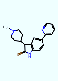 CN1CCC(C2C(=S)Nc3ccc(-c4ccccn4)cc32)CC1